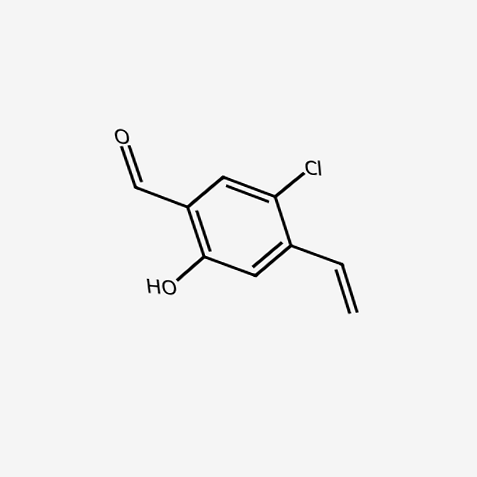 C=Cc1cc(O)c(C=O)cc1Cl